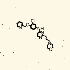 Clc1cc(Nc2ccnc(SCCN3CCOCC3)n2)ccc1OCc1ccccn1